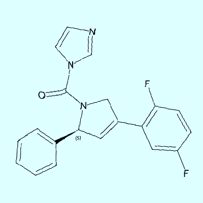 O=C(N1CC(c2cc(F)ccc2F)=C[C@H]1c1ccccc1)n1ccnc1